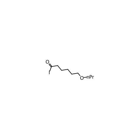 CCCOCCCCCC(=O)I